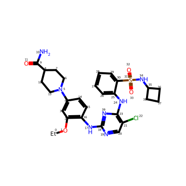 CCOc1cc(N2CCC(C(N)=O)CC2)ccc1Nc1ncc(Cl)c(Nc2ccccc2S(=O)(=O)NC2CCC2)n1